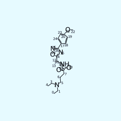 CCN(CC)CCCS(=O)(=O)N[C@H](C)c1nc(-c2ccc(OC)cc2)no1